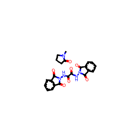 CN1CCCC1=O.O=C(NN1C(=O)c2ccccc2C1=O)C(=O)NN1C(=O)c2ccccc2C1=O